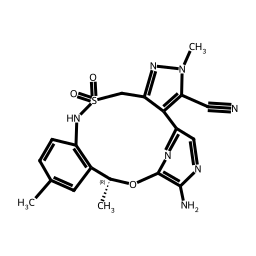 Cc1ccc2c(c1)[C@@H](C)Oc1nc(cnc1N)-c1c(nn(C)c1C#N)CS(=O)(=O)N2